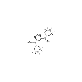 CCCCN(c1n[c]nc(N(CCCC)C2CC(C)(C)N(C)C(C)(C)C2)n1)C1CC(C)(C)N(C)C(C)(C)C1